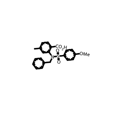 COc1ccc(S(=O)(=O)N(Cc2ccccc2)c2cc(C)ccc2C(=O)O)cc1